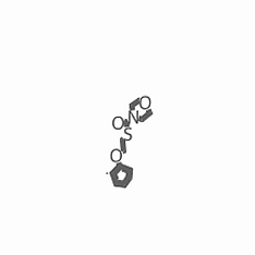 O=C(SCCOc1[c]cccc1)N1CCOCC1